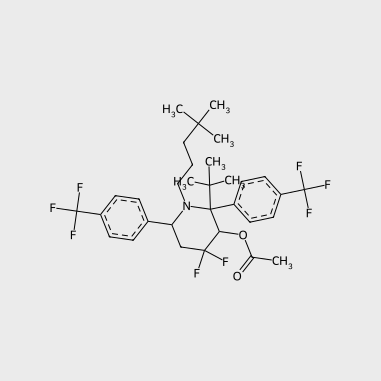 CC(=O)OC1C(F)(F)CC(c2ccc(C(F)(F)F)cc2)N(CCCC(C)(C)C)C1(c1ccc(C(F)(F)F)cc1)C(C)(C)C